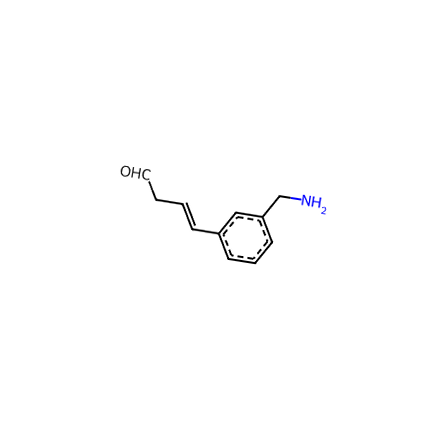 NCc1cccc(C=CCC=O)c1